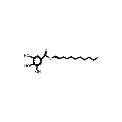 CCCCCCCCCC=COC(=O)c1cc(O)c(O)c(O)c1